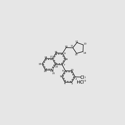 Cl.Clc1cccc(-c2cc(CC3CCCC3)cc3cccnc23)c1